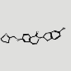 O=C1c2ccc(OCC3CCCO3)cc2CCN1C1Cc2ccc(Br)cc2C1